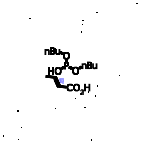 C/C=C/C(=O)O.CCCCOP(O)OCCCC